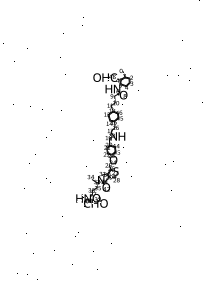 Cc1cccc(NC(=O)CCCc2ccc(CCNCc3ccc(OCc4scc5c4CN(C(C)CCC(=O)NC=O)C5=O)cc3)cc2)c1C=O